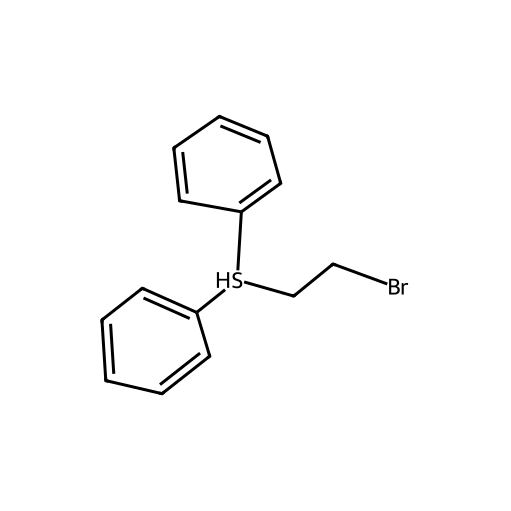 BrCC[SH](c1ccccc1)c1ccccc1